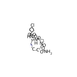 NC(=O)OC1CCCCC/C=C/C2CC2(C(=O)NS(=O)(=O)c2ccc(Cl)cc2)NC(=O)C2CCCN2C1=O